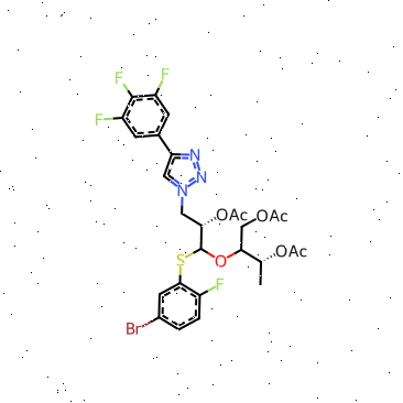 CC(=O)OCC(OC(Sc1cc(Br)ccc1F)[C@H](Cn1cc(-c2cc(F)c(F)c(F)c2)nn1)OC(C)=O)[C@@H](C)OC(C)=O